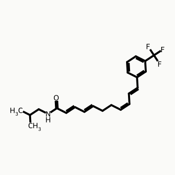 CC(C)CNC(=O)/C=C/C=C/CC/C=C\C=C\c1cccc(C(F)(F)F)c1